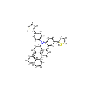 c1csc(-c2ccc(N(c3ccc(-c4cccs4)cc3)c3ccc4c5cccc6cccc(c7cccc3c74)c65)cc2)c1